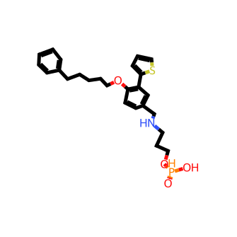 O=[PH](O)OCCCNCc1ccc(OCCCCCc2ccccc2)c(-c2cccs2)c1